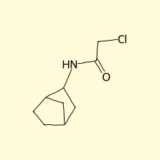 O=C(CCl)NC1CC2CCC1C2